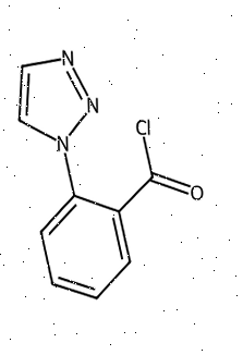 O=C(Cl)c1ccccc1-n1ccnn1